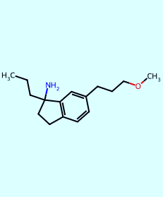 CCCC1(N)CCc2ccc(CCCOC)cc21